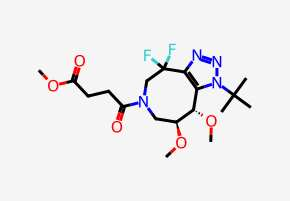 COC(=O)CCC(=O)N1C[C@H](OC)[C@@H](OC)c2c(nnn2C(C)(C)C)C(F)(F)C1